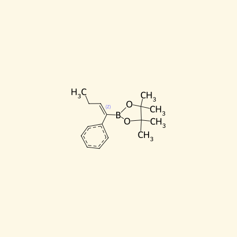 CC/C=C(/B1OC(C)(C)C(C)(C)O1)c1ccccc1